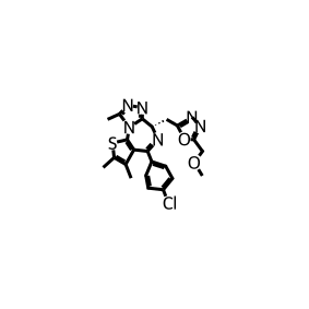 COCc1nnc(C[C@@H]2N=C(c3ccc(Cl)cc3)c3c(sc(C)c3C)-n3c(C)nnc32)o1